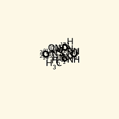 Cc1cc(Nc2ccnc(Nc3ccc4nc(NC(=O)c5ccccc5)sc4c3)n2)n[nH]1